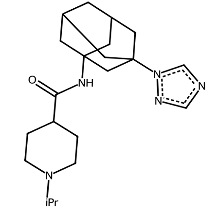 CC(C)N1CCC(C(=O)NC23CC4CC(C2)CC(n2cncn2)(C4)C3)CC1